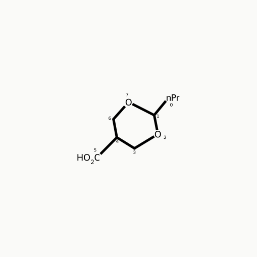 CCCC1OCC(C(=O)O)CO1